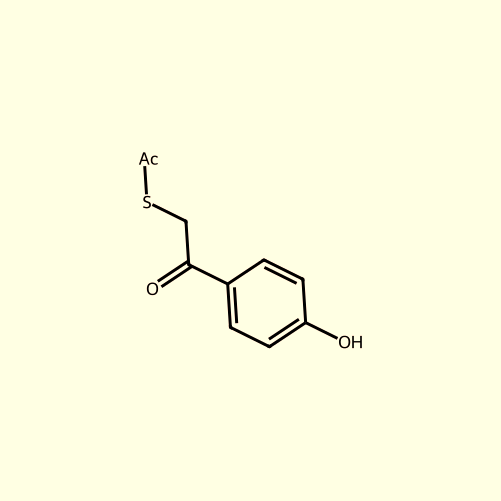 CC(=O)SCC(=O)c1ccc(O)cc1